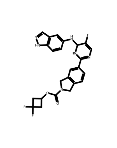 O=C(OC1CC(F)(F)C1)N1Cc2ccc(C3=NC=C(F)C(Nc4ccc5[nH]ncc5c4)N3)cc2C1